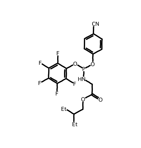 CCC(CC)COC(=O)CNP(Oc1ccc(C#N)cc1)Oc1c(F)c(F)c(F)c(F)c1F